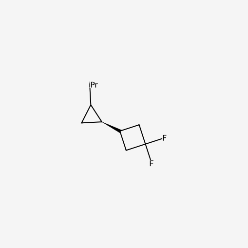 CC(C)C1C[C@@H]1C1CC(F)(F)C1